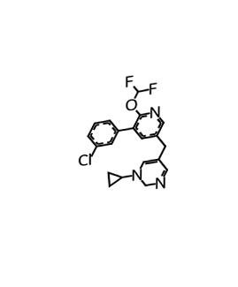 FC(F)Oc1ncc(CC2=CN(C3CC3)CN=C2)cc1-c1cccc(Cl)c1